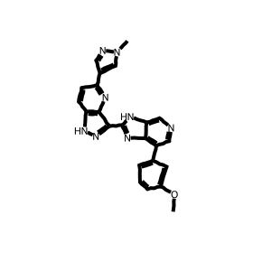 COc1cccc(-c2cncc3[nH]c(-c4n[nH]c5ccc(-c6cnn(C)c6)nc45)nc23)c1